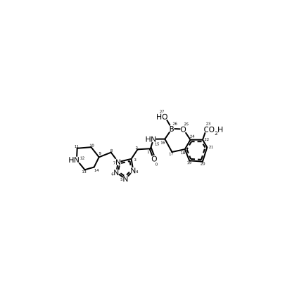 O=C(Cc1nnnn1CC1CCNCC1)NC1Cc2cccc(C(=O)O)c2OB1O